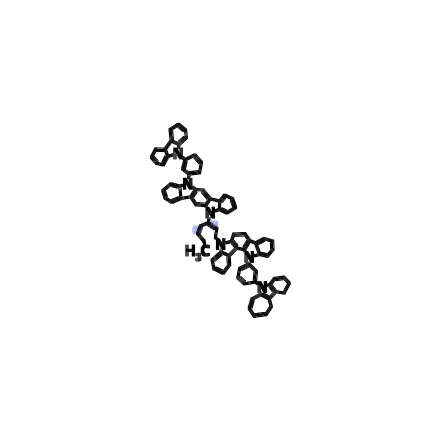 CC/C=C\C(=C/Cn1c2ccccc2c2c1ccc1c3ccccc3n(-c3cccc(-n4c5c(c6c4C=CCC6)CC=CC=C5)c3)c12)n1c2ccccc2c2cc3c(cc21)c1ccccc1n3-c1cccc(-n2c3ccccc3c3ccccc32)c1